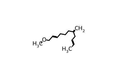 C=C(CC=CC)CCCC=CCOC